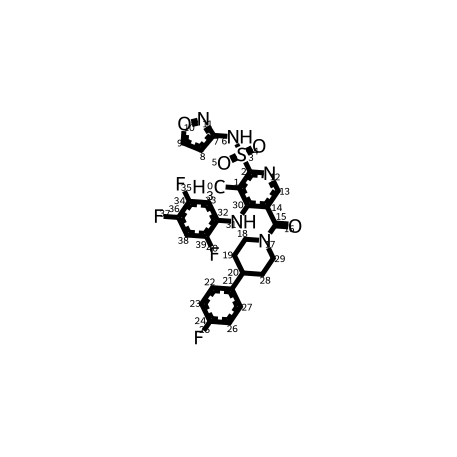 Cc1c(S(=O)(=O)Nc2ccon2)ncc(C(=O)N2CCC(c3ccc(F)cc3)CC2)c1Nc1cc(F)c(F)cc1F